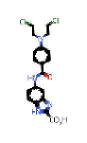 O=C(Nc1ccc2[nH]c(C(=O)O)nc2c1)c1ccc(N(CCCl)CCCl)cc1